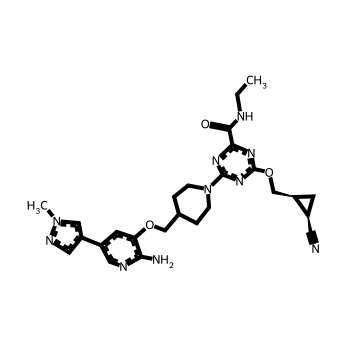 CCNC(=O)c1nc(OC[C@H]2C[C@H]2C#N)nc(N2CCC(COc3cc(-c4cnn(C)c4)cnc3N)CC2)n1